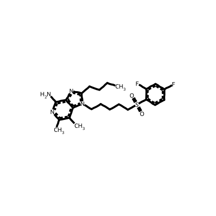 CCCCc1nc2c(N)nc(C)c(C)c2n1CCCCCS(=O)(=O)c1ccc(F)cc1F